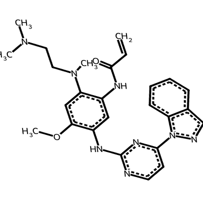 C=CC(=O)Nc1cc(Nc2nccc(-n3ncc4ccccc43)n2)c(OC)cc1N(C)CCN(C)C